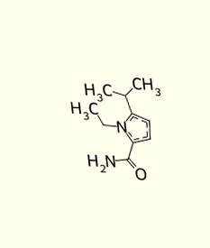 CCn1c(C(N)=O)ccc1C(C)C